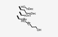 C=CCCCC.C=CCCCCCCCC.C=CCCCCCCCCCCCC.CC(C)O.CCCCCCCCCCO.OCCCl